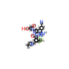 Cn1cnnc1-c1ccc(C#N)cc1-c1cc(N2C[C@H](O)CC2=O)nc(N2Cc3c(cc(CN4CCC5(CC5)C4)cc3C(F)(F)F)C2=O)c1